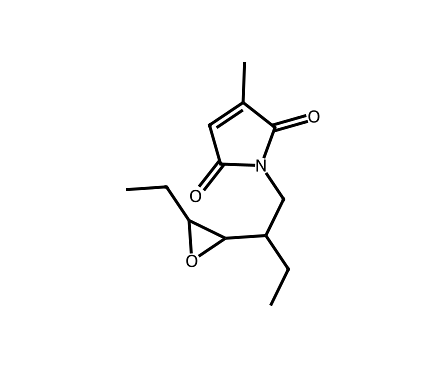 CCC(CN1C(=O)C=C(C)C1=O)C1OC1CC